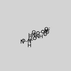 COc1cc(-c2ccc3c(c2)Nc2ccc(CC(=O)NCCc4cccnc4)cc2NC3=O)ccc1[N+](=O)[O-]